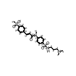 CN(C)CCCNS(=O)(=O)c1ccc(N(C)C(=O)/C=C/c2ccc(S(C)(=O)=O)cc2)cc1